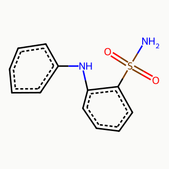 NS(=O)(=O)c1ccccc1Nc1ccccc1